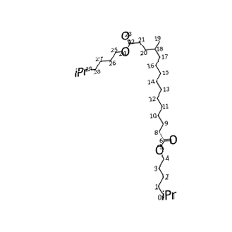 CC(C)CCCCOC(=O)CCCCCCCCCCC(C)CCC(=O)OCCCCC(C)C